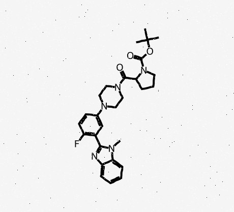 Cn1c(-c2cc(N3CCN(C(=O)C4CCCN4C(=O)OC(C)(C)C)CC3)ccc2F)nc2ccccc21